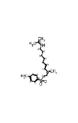 Cc1ccc(S(=O)(=O)SCN(C)CCCCCCCNC(C)C)cc1